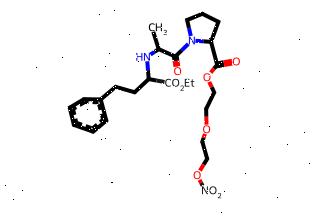 CCOC(=O)C(CCc1ccccc1)NC(C)C(=O)N1CCCC1C(=O)OCCOCCO[N+](=O)[O-]